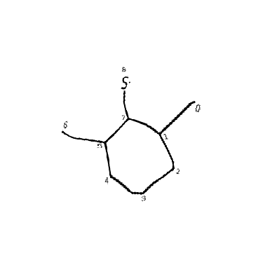 CC1CCCC(C)C1[S]